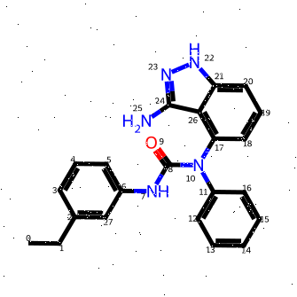 CCc1cccc(NC(=O)N(c2ccccc2)c2cccc3[nH]nc(N)c23)c1